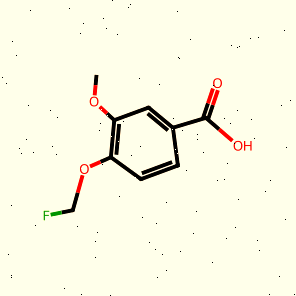 COc1cc(C(=O)O)ccc1OCF